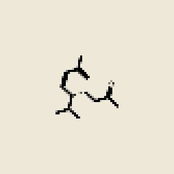 C=C(C)/C=C\[C@H](CCC(C)=O)C(C)C